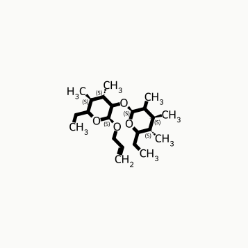 C=CCO[C@H]1OC(CC)[C@@H](C)[C@H](C)C1O[C@@H]1OC(CC)[C@@H](C)[C@H](C)C1C